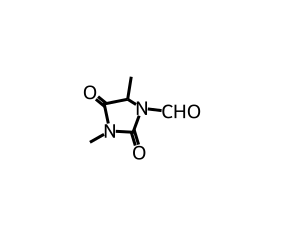 CC1C(=O)N(C)C(=O)N1C=O